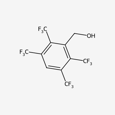 OCc1c(C(F)(F)F)c(C(F)(F)F)cc(C(F)(F)F)c1C(F)(F)F